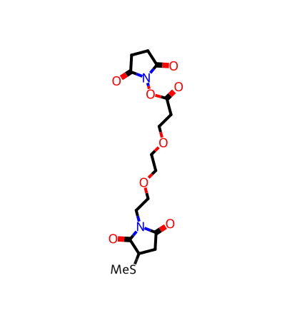 CSC1CC(=O)N(CCOCCOCCC(=O)ON2C(=O)CCC2=O)C1=O